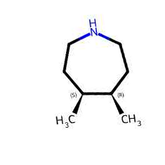 C[C@@H]1CCNCC[C@@H]1C